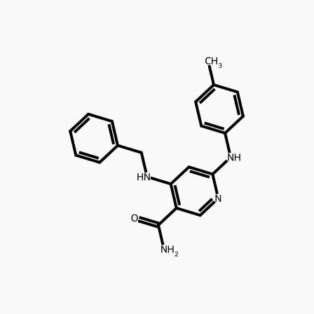 Cc1ccc(Nc2cc(NCc3ccccc3)c(C(N)=O)cn2)cc1